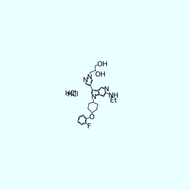 CCNc1cc2c(cn1)c(-c1cnn(CC(O)CO)c1)cn2C1CCC(Oc2ccccc2F)CC1.Cl.Cl